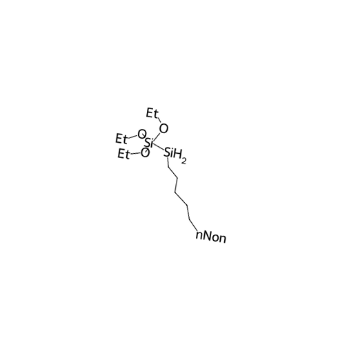 CCCCCCCCCCCCCC[SiH2][Si](OCC)(OCC)OCC